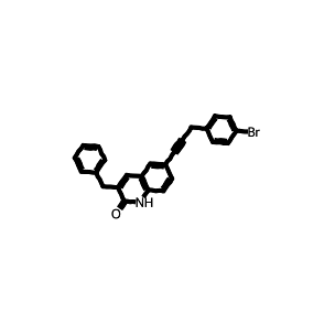 O=c1[nH]c2ccc(C#CCc3ccc(Br)cc3)cc2cc1Cc1ccccc1